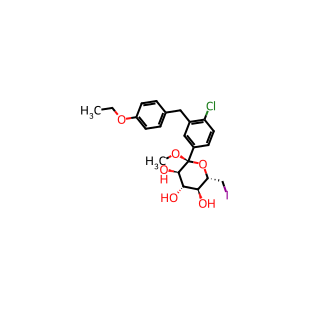 CCOc1ccc(Cc2cc([C@]3(OC)O[C@H](CI)[C@@H](O)[C@H](O)[C@H]3O)ccc2Cl)cc1